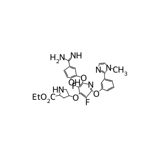 CCOC(=O)C1CC(Oc2c(F)c(Oc3cccc(-c4nccn4C)c3)nc(Oc3cc(C(=N)N)ccc3O)c2F)CN1